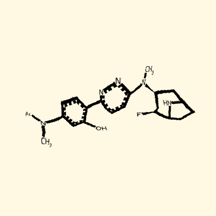 CC(=O)N(C)c1ccc(-c2ccc(N(C)[C@H]3CC4CCC(N4)[C@H]3F)nn2)c(O)c1